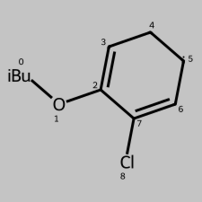 CCC(C)OC1=CC[CH]C=C1Cl